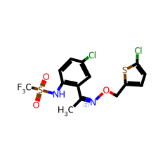 C/C(=N/OCc1ccc(Cl)s1)c1cc(Cl)ccc1NS(=O)(=O)C(F)(F)F